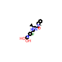 C[C@@H]1c2ccccc2CCN1C(=O)c1cc(C2CC2)n2nc(-c3ccc(N4C[C@H](O)[C@@H](O)C4)cc3F)cc2n1